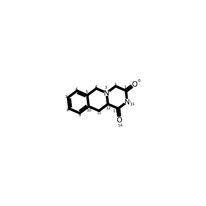 O=C1CN2Cc3ccccc3CC2C(=O)[N]1